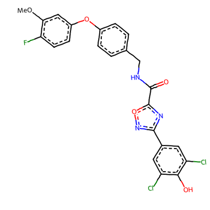 COc1cc(Oc2ccc(CNC(=O)c3nc(-c4cc(Cl)c(O)c(Cl)c4)no3)cc2)ccc1F